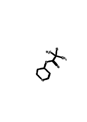 CC(C)(Cl)C(=O)OC1CCOCC1